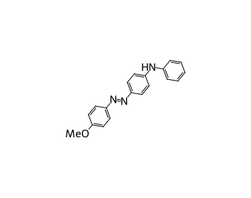 COc1ccc(N=Nc2ccc(Nc3ccccc3)cc2)cc1